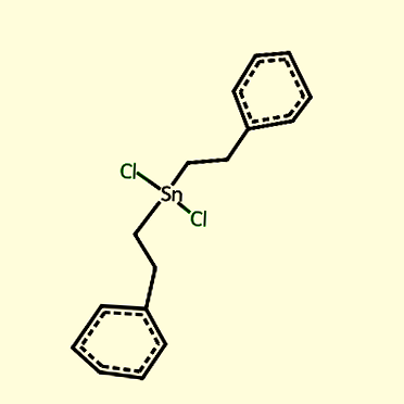 [Cl][Sn]([Cl])([CH2]Cc1ccccc1)[CH2]Cc1ccccc1